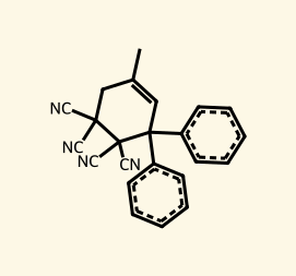 CC1=CC(c2ccccc2)(c2ccccc2)C(C#N)(C#N)C(C#N)(C#N)C1